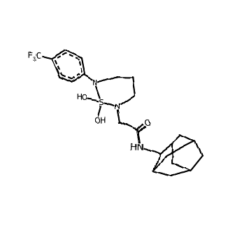 O=C(CN1CCCN(c2ccc(C(F)(F)F)cc2)S1(O)O)NC1C2CC3CC(C2)CC1C3